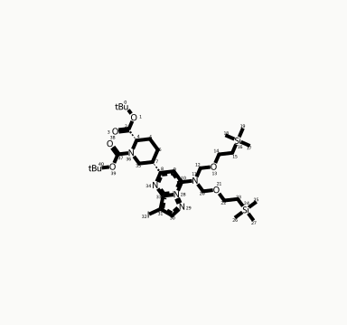 CC(C)(C)OC(=O)[C@@H]1CC[C@H](c2cc(N(COCC[Si](C)(C)C)COCC[Si](C)(C)C)n3ncc(I)c3n2)CN1C(=O)OC(C)(C)C